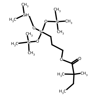 CCC(C)(C)C(=O)OCCC[Si](OC[SiH](C)C)(O[Si](C)(C)C)O[Si](C)(C)C